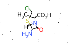 CC1(CCl)S[C@@H]2C(N)C(=O)N2C1C(=O)O